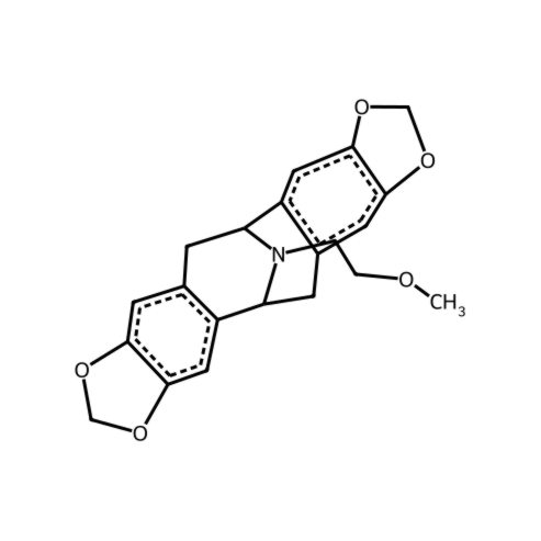 COCCN1C2Cc3cc4c(cc3C1Cc1cc3c(cc12)OCO3)OCO4